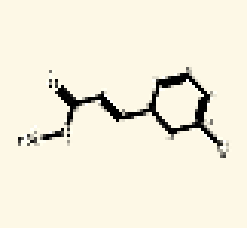 CCCCOC(=O)C=CC1C=CC=C(CC)C1